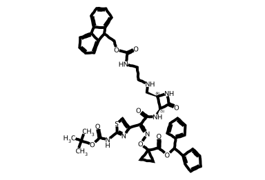 CC(C)(C)OC(=O)Nc1nc(C(=NOC2(C(=O)OC(c3ccccc3)c3ccccc3)CC2)C(=O)N[C@@H]2C(=O)N[C@@H]2CNCCNC(=O)OCC2c3ccccc3-c3ccccc32)cs1